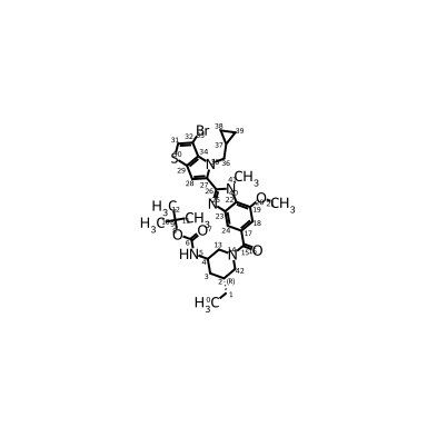 CC[C@@H]1CC(NC(=O)OC(C)(C)C)CN(C(=O)c2cc(OC)c3c(c2)nc(-c2cc4scc(Br)c4n2CC2CC2)n3C)C1